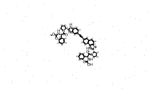 COC(=O)N[C@@H](C(=O)N1CCC[C@H]1c1nc2cc(C#Cc3ccc4c(ccc5nc([C@@H]6CCCN6C(=O)[C@H](NC(=O)O)c6ccccc6)[nH]c54)c3)ccc2[nH]1)c1ccccc1